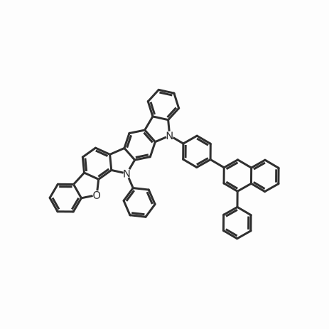 c1ccc(-c2cc(-c3ccc(-n4c5ccccc5c5cc6c7ccc8c9ccccc9oc8c7n(-c7ccccc7)c6cc54)cc3)cc3ccccc23)cc1